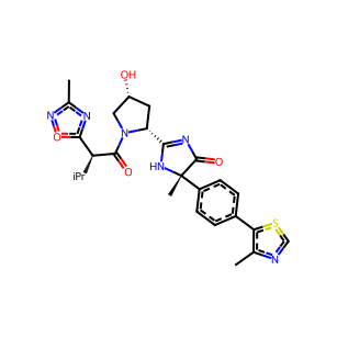 Cc1noc([C@@H](C(=O)N2C[C@H](O)C[C@@H]2C2=NC(=O)[C@](C)(c3ccc(-c4scnc4C)cc3)N2)C(C)C)n1